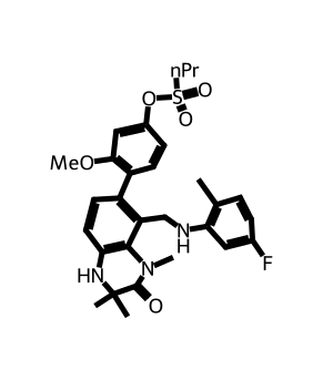 CCCS(=O)(=O)Oc1ccc(-c2ccc3c(c2CNc2cc(F)ccc2C)N(C)C(=O)C(C)(C)N3)c(OC)c1